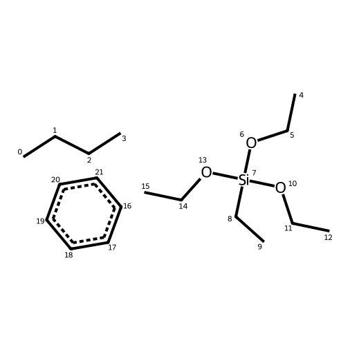 CCCC.CCO[Si](CC)(OCC)OCC.c1ccccc1